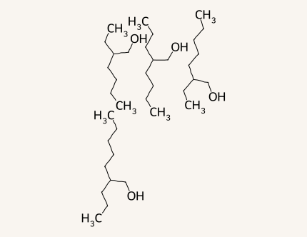 CCCCC(CC)CO.CCCCC(CO)CCC.CCCCCC(CC)CO.CCCCCC(CO)CCC